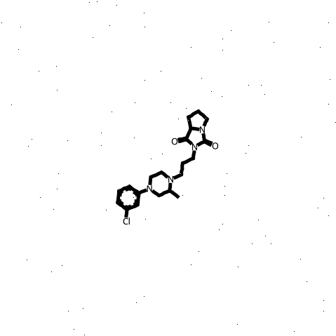 CC1CN(c2cccc(Cl)c2)CCN1CCCN1C(=O)C2CCCN2C1=O